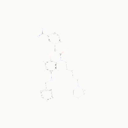 C[C@@H]1CCC[C@H](C)N1CCCCCN1C(=O)C(c2cccc(C(=N)N)c2)Oc2ccc(NCc3ccccc3)cc21